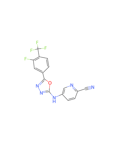 N#Cc1ccc(Nc2nnc(-c3ccc(C(F)(F)F)c(F)c3)o2)cn1